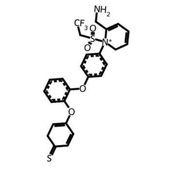 NCC1=CC=CC[N+]1(c1ccc(Oc2ccccc2OC2=CCC(=S)C=C2)cc1)S(=O)(=O)CC(F)(F)F